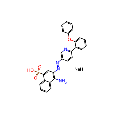 Nc1c(N=Nc2ccc(-c3ccccc3Oc3ccccc3)nc2)cc(S(=O)(=O)O)c2ccccc12.[NaH]